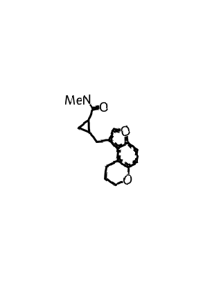 CNC(=O)C1CC1Cc1coc2ccc3c(c12)CCCO3